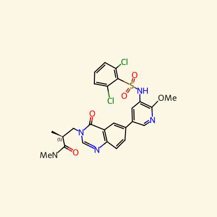 CNC(=O)[C@@H](C)Cn1cnc2ccc(-c3cnc(OC)c(NS(=O)(=O)c4c(Cl)cccc4Cl)c3)cc2c1=O